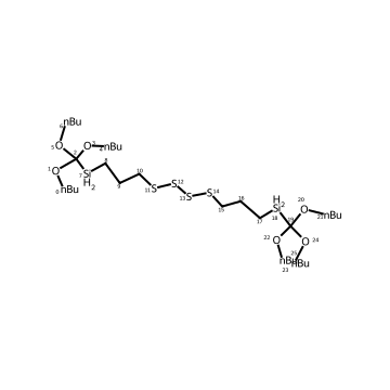 CCCCOC(OCCCC)(OCCCC)[SiH2]CCCSSSSCCC[SiH2]C(OCCCC)(OCCCC)OCCCC